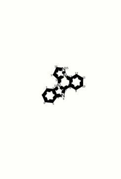 c1ccc2c(c1)nc1c3ccccc3n3nccc3n21